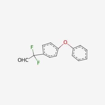 O=CC(F)(F)c1ccc(Oc2ccccc2)cc1